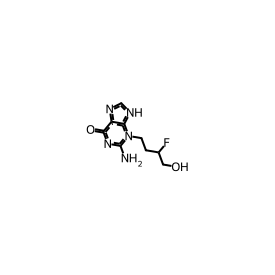 Nc1nc(=O)c2nc[nH]c2n1CCC(F)CO